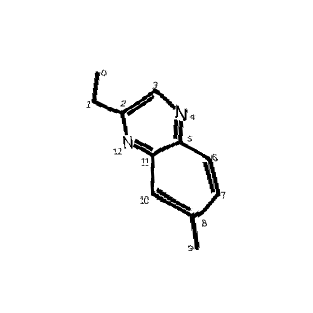 CCc1cnc2ccc(C)cc2n1